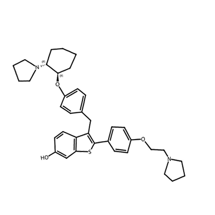 Oc1ccc2c(Cc3ccc(O[C@@H]4CCCC[C@H]4N4CCCC4)cc3)c(-c3ccc(OCCN4CCCC4)cc3)sc2c1